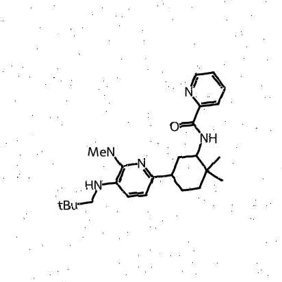 CNc1nc(C2CCC(C)(C)C(NC(=O)c3ccccn3)C2)ccc1NCC(C)(C)C